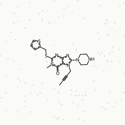 CC#CCn1c(N2CCNCC2)nc2nc(SCc3cccs3)n(C)c(=O)c21